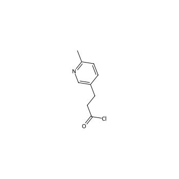 Cc1ccc(CCC(=O)Cl)cn1